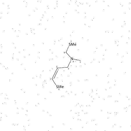 CS/C=C\CN(C)CSC